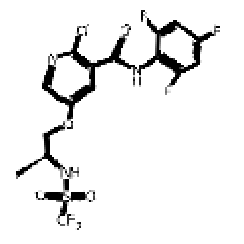 C[C@@H](COc1cnc(Cl)c(C(=O)Nc2c(F)cc(F)cc2F)c1)NS(=O)(=O)C(F)(F)F